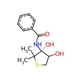 CC1(C)SCC(O)[C@]1(O)NC(=O)c1ccccc1